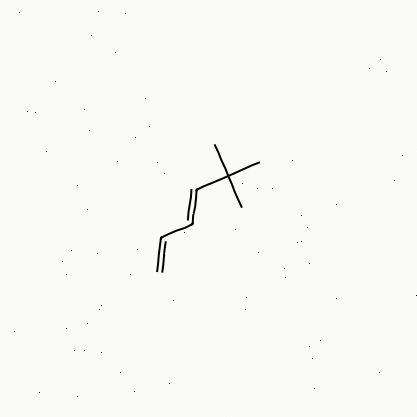 C=CC=CC(C)(C)C